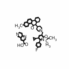 Cc1ccc2c3c(ccc2c1)C1=C(CCC=C1)C(C1CCN(Cc2cc(C4CC4)c(-c4ccc(F)cc4)nc2OC(C)C)CC1)C3=O.O=C(O)c1cnc2ccncc2c1